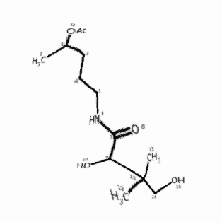 CC(=O)OC(C)CCCNC(=O)C(O)C(C)(C)CO